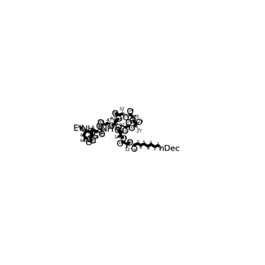 CCCCCCCCCCCCCCCCCC(=O)O[C@@H](C)C(=O)O[C@@H](C)C(=O)O[C@@H](C)C(=O)O[C@@H](C)C(=O)O[C@@H](C)C(=O)O[C@@H](C)C(=O)O[C@@H](C)C(=O)O[C@@H](C)C(=O)NS(=O)(=O)c1cc2c(s1)S(=O)(=O)[C@@H](C)C[C@@H]2NCC